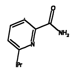 CC(C)c1cc[c]c(C(N)=O)n1